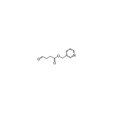 O=CCCC(=O)OCc1cccnc1